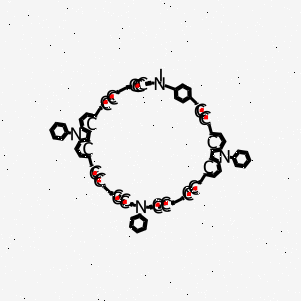 IN1c2ccc(cc2)-c2ccc(cc2)-c2ccc3c(c2)c2cc(ccc2n3-c2ccccc2)-c2ccc(cc2)-c2ccc(cc2)N(c2ccccc2)c2ccc(cc2)-c2ccc(cc2)-c2ccc3c(c2)c2cc(ccc2n3-c2ccccc2)-c2ccc(cc2)-c2ccc1cc2